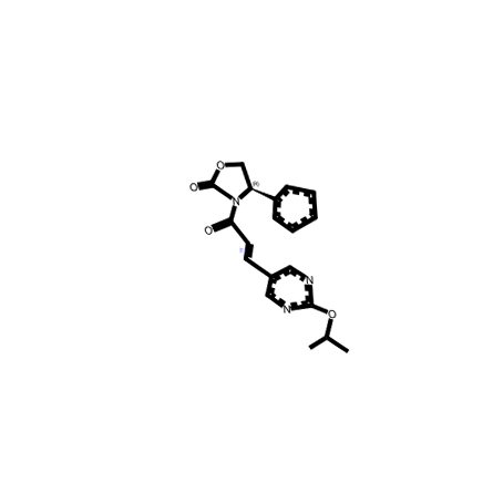 CC(C)Oc1ncc(/C=C/C(=O)N2C(=O)OC[C@H]2c2ccccc2)cn1